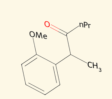 CCCC(=O)C(C)c1ccccc1OC